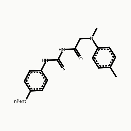 CCCCCc1ccc(NC(=S)NC(=O)CN(C)c2ccc(C)cc2)cc1